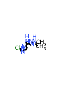 CCC(C)Nc1ncc2c(-c3ccc4ncc(Cl)n4n3)c[nH]c2n1